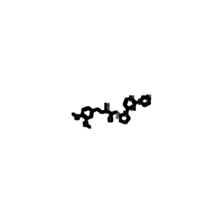 COc1ccc(CCNC(=O)C[C@H]2CCCN2c2ccnc(-n3ccnc3)n2)cc1OC